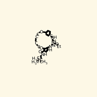 CCOc1nc2nc(n1)Nc1ccc(C(=O)NCC[N+](C)(C)C)c(c1)OCCCCCCCCOc1ccc(cc1)CN2